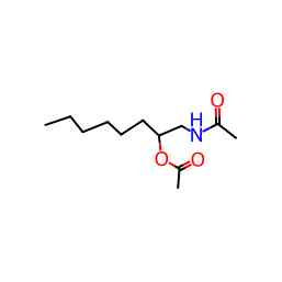 CCCCCCC(CNC(C)=O)OC(C)=O